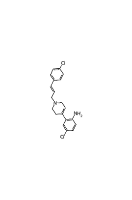 Nc1ccc(Cl)cc1C1=CCN(C/C=C/c2ccc(Cl)cc2)CC1